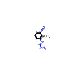 Cc1c(/N=N/N)cccc1[N+]#N